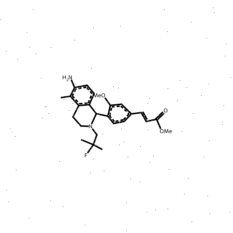 COC(=O)/C=C/c1ccc(C2c3ccc(N)c(C)c3CCN2CC(C)(C)F)c(OC)c1